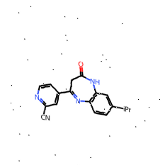 CC(C)c1ccc2c(c1)NC(=O)CC(c1ccnc(C#N)c1)=N2